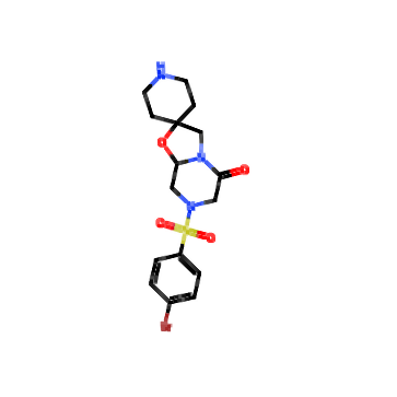 O=C1CN(S(=O)(=O)c2ccc(Br)cc2)CC2OC3(CCNCC3)CN12